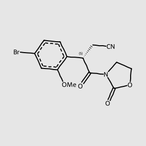 COc1cc(Br)ccc1[C@H](CC#N)C(=O)N1CCOC1=O